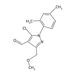 COCc1nn(-c2ccc(C)cc2C)c(Cl)c1C=O